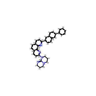 c1ccc(-c2ccc3cc(-c4ccc5ccc6ccc(N7CCCN8CCCN=C87)nc6c5n4)ccc3c2)cc1